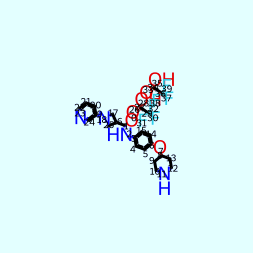 O=C(Nc1ccc(OC2CCNCC2)cc1)C1CN(c2cccnc2)C1.O=C(O)C(F)(F)F.O=C(O)C(F)(F)F